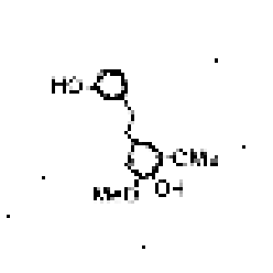 COc1cc(CCc2cccc(O)c2)cc(OC)c1O